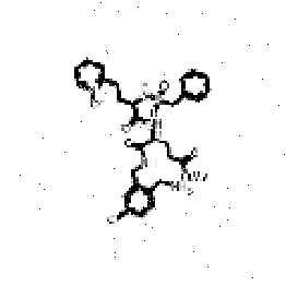 COC(=O)CC[C@H](NC(=O)C(CCc1cccc[n+]1[O-])NS(=O)(=O)Cc1ccccc1)C(=O)NCc1cc(Cl)ccc1CN